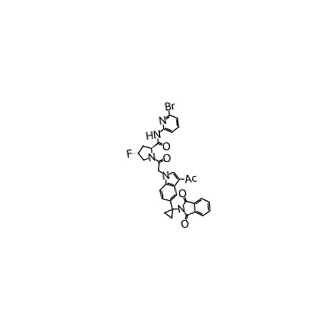 CC(=O)c1cn(CC(=O)N2C[C@H](F)C[C@H]2C(=O)Nc2cccc(Br)n2)c2ccc(C3(N4C(=O)c5ccccc5C4=O)CC3)cc12